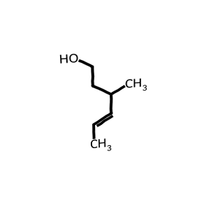 C/C=C/C(C)CCO